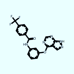 O=C(Nc1cccc(Oc2ncnc3[nH]ncc23)c1)c1ccc(C(F)(F)F)cc1